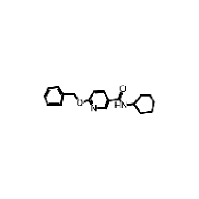 O=C(NC1CCCCC1)c1ccc(OCc2ccccc2)nc1